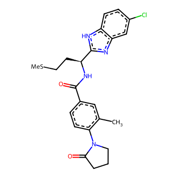 CSCC[C@H](NC(=O)c1ccc(N2CCCC2=O)c(C)c1)c1nc2cc(Cl)ccc2[nH]1